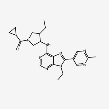 CCC1CN(C(=O)C2CC2)CC1Nc1ncnc2c1nc(-c1cnc(C)nc1)n2CC